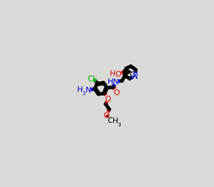 COCCOc1cc(N)c(Cl)cc1C(=O)NCC1(O)CN2CCC1CC2